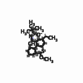 CCc1ccc(-c2c(C)cccc2C(=S)OC)c(/C=N\[S+]([O-])C(C)(C)C)c1